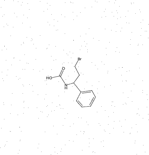 O=C(O)NC(CCBr)c1ccccc1